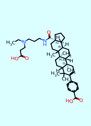 CCN(CCCNC(=O)[C@]12CCC[C@@H]1[C@H]1CC[C@@H]3[C@@]4(C)CC=C(c5ccc(C(=O)O)cc5)C(C)(C)[C@@H]4CC[C@@]3(C)[C@]1(C)CC2)CCC(=O)O